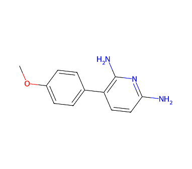 COc1ccc(-c2ccc(N)nc2N)cc1